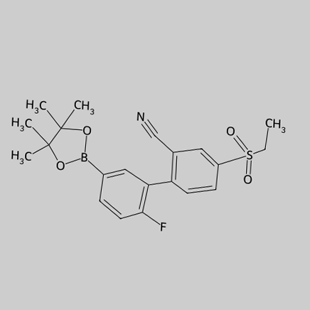 CCS(=O)(=O)c1ccc(-c2cc(B3OC(C)(C)C(C)(C)O3)ccc2F)c(C#N)c1